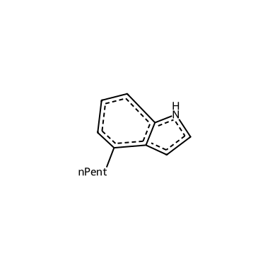 CCCCCc1cccc2[nH]ccc12